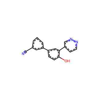 N#Cc1cccc(-c2ccc(O)c(-c3ccnnc3)c2)c1